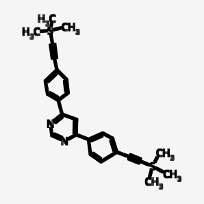 CS(C)(C)C#Cc1ccc(-c2cc(-c3ccc(C#CS(C)(C)C)cc3)ncn2)cc1